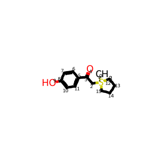 CS1(CC(=O)c2ccc(O)cc2)CCCC1